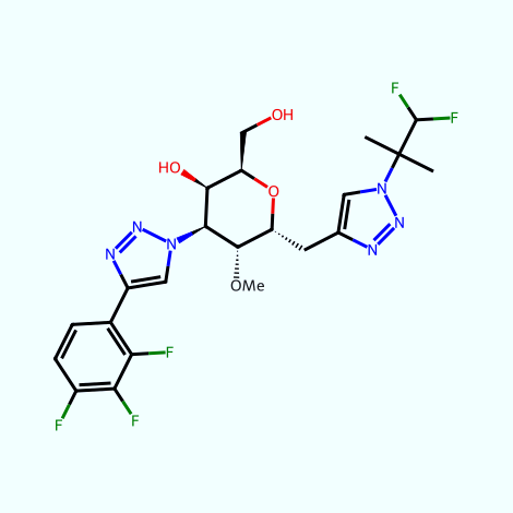 CO[C@@H]1[C@@H](n2cc(-c3ccc(F)c(F)c3F)nn2)[C@@H](O)[C@@H](CO)O[C@@H]1Cc1cn(C(C)(C)C(F)F)nn1